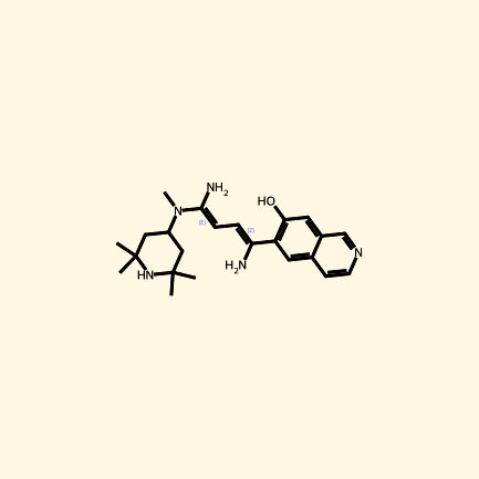 CN(/C(N)=C/C=C(\N)c1cc2ccncc2cc1O)C1CC(C)(C)NC(C)(C)C1